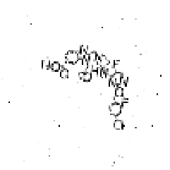 O=C(O)c1ccc2nc(CN3CC[C@@H](Nc4nc(OCc5ccc(Cl)cc5F)ncc4F)C3)n(C[C@@H]3CCO3)c2c1